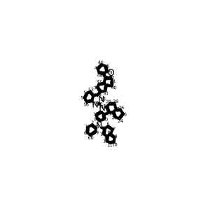 c1ccc(N(c2ccc3ccccc3c2)c2ccc3c(c2)c2c4ccccc4ccc2n3-c2nc(-c3ccc4c(ccc5oc6ccccc6c54)c3)c3ccccc3n2)cc1